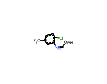 CO/[C]=N\c1cc(C(F)(F)F)ccc1Cl